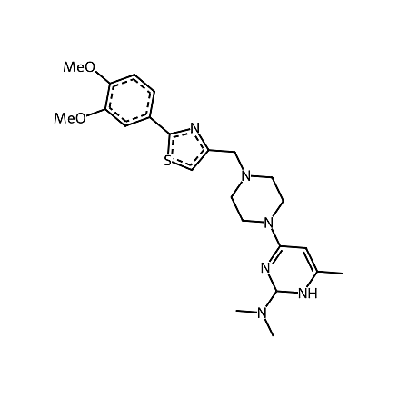 COc1ccc(-c2nc(CN3CCN(C4=NC(N(C)C)NC(C)=C4)CC3)cs2)cc1OC